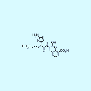 Nc1nc(C(=CCCC(=O)O)C(=O)N[C@H]2Cc3cccc(C(=O)O)c3OB2O)cs1